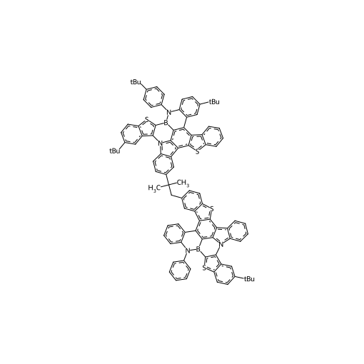 CC(C)(C)c1ccc(N2B3c4sc5ccc(C(C)(C)C)cc5c4-n4c5ccc(C(C)(C)Cc6ccc7sc8c(c9c%10c%11c8c8ccccc8n%11-c8c(sc%11ccc(C(C)(C)C)cc8%11)B%10N(c8ccccc8)c8ccccc8-9)c7c6)cc5c5c6sc7ccccc7c6c(c3c54)-c3cc(C(C)(C)C)ccc32)cc1